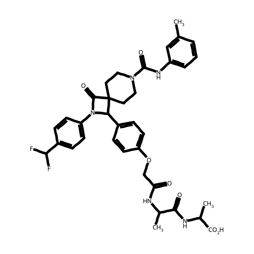 Cc1cccc(NC(=O)N2CCC3(CC2)C(=O)N(c2ccc(C(F)F)cc2)C3c2ccc(OCC(=O)NC(C)C(=O)NC(C)C(=O)O)cc2)c1